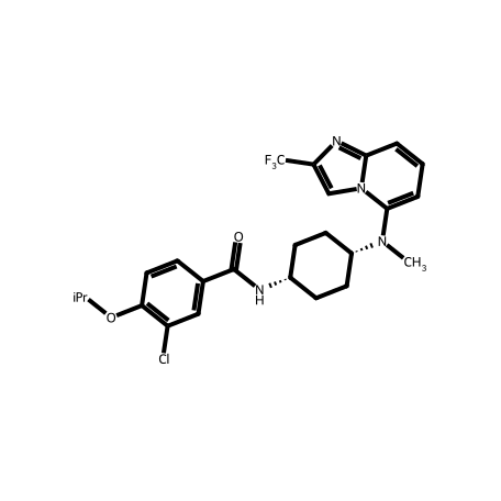 CC(C)Oc1ccc(C(=O)N[C@H]2CC[C@@H](N(C)c3cccc4nc(C(F)(F)F)cn34)CC2)cc1Cl